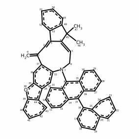 C=C1/C=C2\C(=C/CN(c3c4ccccc4c(-c4cccc5ccccc45)c4ccccc34)c3cc4c(cc31)oc1ccccc14)C(C)(C)c1ccccc12